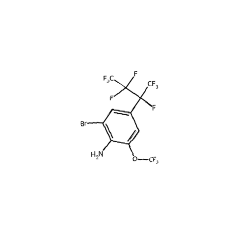 Nc1c(Br)cc(C(F)(C(F)(F)F)C(F)(F)C(F)(F)F)cc1OC(F)(F)F